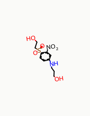 O=[N+]([O-])c1cc(NCCCO)ccc1S(=O)(=O)CCO